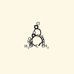 CC[C@@H]1CC/C=C/[C@H](OC)[C@@H]2CC[C@H]2CN2CCCCc3cc(Cl)ccc3COc3ccc(cc32)C(=O)NS1(=O)=O